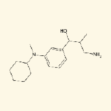 CC(CN)C(O)c1cccc(N(C)C2CCCCC2)c1